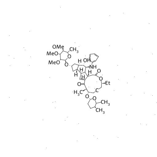 CC[C@H]1CCC[C@H](O[C@H]2CC[C@H](C)C(C)O2)[C@@H](C)C(=O)C2=C[C@H]3[C@@H]4C[C@H](O[C@@H]5OC(C)[C@H](OC)C(OC)C5OC)C[C@H]4[C@H](O)[C@@H](Nc4ccccc4)[C@H]3[C@@H]2CC(=O)O1